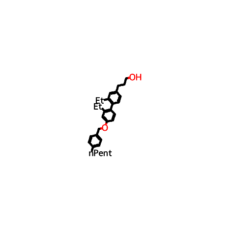 CCCCCc1ccc(COc2ccc(-c3ccc(CCCO)cc3CC)c(CC)c2)cc1